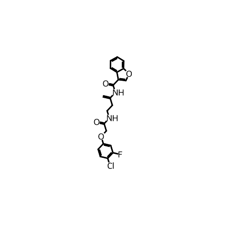 C=C(CCNC(=O)COc1ccc(Cl)c(F)c1)NC(=O)c1coc2ccccc12